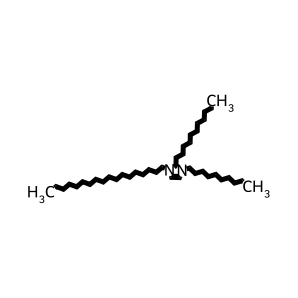 CCCCCCCCCCCCCCCCCCN1C=CN(CCCCCCCCCC)C1CCCCCCCCCCC